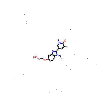 CCn1c(-c2cc(C)c(=O)n(C)c2)nc2cc(OCCO)ccc21